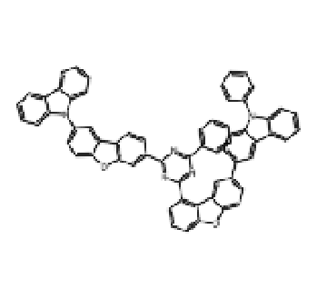 c1ccc(-c2nc(-c3ccc4c(c3)oc3ccc(-n5c6ccccc6c6ccccc65)cc34)nc(-c3cccc4oc5ccc(-c6ccc7c(c6)c6ccccc6n7-c6ccccc6)cc5c34)n2)cc1